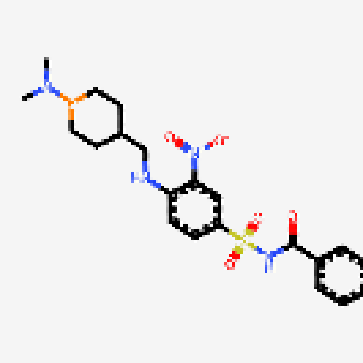 CN(C)P1CCC(CNc2ccc(S(=O)(=O)NC(=O)c3ccccc3)cc2[N+](=O)[O-])CC1